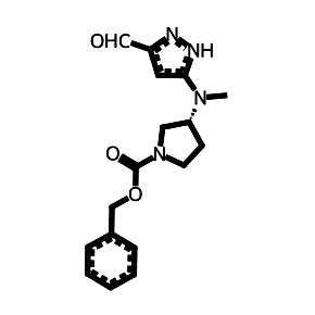 CN(c1cc(C=O)n[nH]1)[C@@H]1CCN(C(=O)OCc2ccccc2)C1